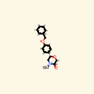 CC(C)(C)N1C[C@H](c2ccc(OCc3ccccc3)cc2)OCC1=O